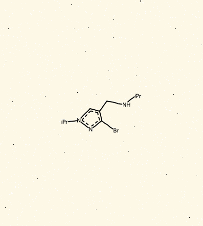 CC(C)NCc1cn(C(C)C)nc1Br